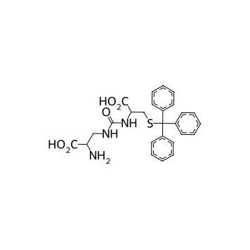 NC(CNC(=O)NC(CSC(c1ccccc1)(c1ccccc1)c1ccccc1)C(=O)O)C(=O)O